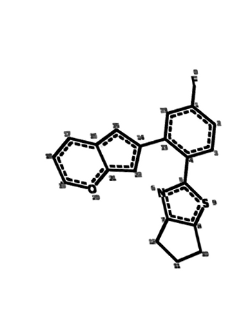 Fc1ccc(-c2nc3c(s2)CCC3)c(-c2cc3cc[c]oc-3c2)c1